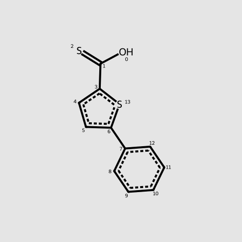 OC(=S)c1ccc(-c2ccccc2)s1